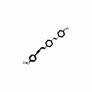 CCC[C@H]1CC[C@H](CC[C@H]2CC[C@H](C=CC#Cc3ccc(OCC)cc3)CC2)CC1